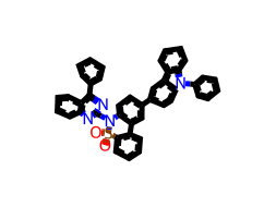 O=S1(=O)c2ccccc2-c2cc(-c3ccc4c(c3)c3ccccc3n4-c3ccccc3)ccc2N1c1nc(-c2ccccc2)c2ccccc2n1